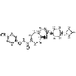 O=C(COc1ccc(Cl)cc1)N1CCc2cnc(N3CCN(C4CCC4)CC3)nc2CC1